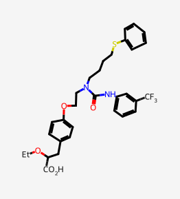 CCOC(Cc1ccc(OCCN(CCCCSc2ccccc2)C(=O)Nc2cccc(C(F)(F)F)c2)cc1)C(=O)O